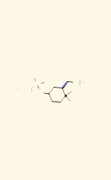 CC1(C)CCC(O[Si](C)(C)C(C)(C)C)C/C1=C/C=O